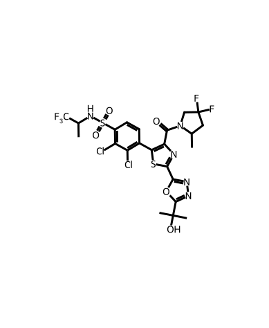 CC1CC(F)(F)CN1C(=O)c1nc(-c2nnc(C(C)(C)O)o2)sc1-c1ccc(S(=O)(=O)NC(C)C(F)(F)F)c(Cl)c1Cl